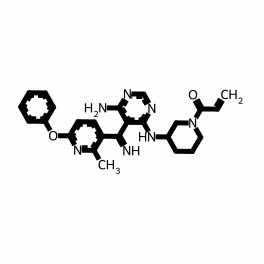 C=CC(=O)N1CCCC(Nc2ncnc(N)c2C(=N)c2ccc(Oc3ccccc3)nc2C)C1